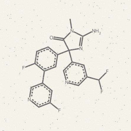 CN1C(=O)C(c2cncc(C(F)F)c2)(c2ccc(F)c(-c3cncc(F)c3)c2)N=C1N